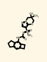 CC1(C)COc2c([S@](N)(=O)=NC(=O)Nc3c4c(cc5c3CC5)CCC4)cnn2C1